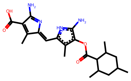 CC1=C(C(=O)O)C(N)=N/C1=C\c1[nH]c(N)c(OC(=O)C2C(C)CC(C)CC2C)c1C